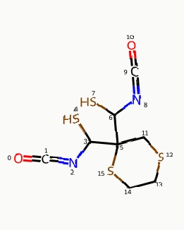 O=C=NC(S)C1(C(S)N=C=O)CSCCS1